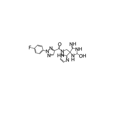 N=C1NC(O)NC1(CNC(=O)c1cnn(-c2ccc(F)cc2)n1)c1ncc[nH]1